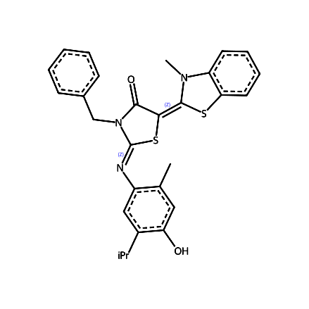 Cc1cc(O)c(C(C)C)cc1/N=C1\S/C(=C2\Sc3ccccc3N2C)C(=O)N1Cc1ccccc1